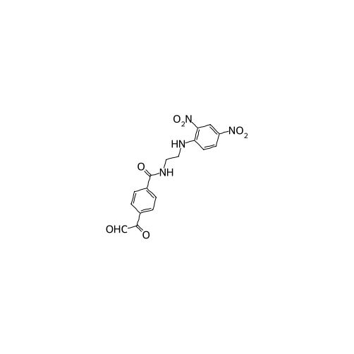 O=CC(=O)c1ccc(C(=O)NCCNc2ccc([N+](=O)[O-])cc2[N+](=O)[O-])cc1